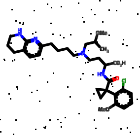 COc1cccc(Cl)c1C1(C(=O)NC(CCN(CCCCc2ccc3c(n2)NCCC3)CC(C)OC)C(=O)O)CC1